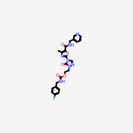 Cc1nc(-n2cnn(CCOC(=O)NCc3ccc(F)cc3)c2=O)sc1C(=O)NCc1cccnc1